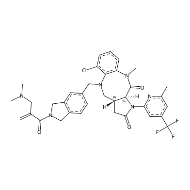 C=C(CN(C)C)C(=O)N1Cc2ccc(CN3C[C@H]4CC(=O)N(c5cc(C(F)(F)F)cc(C)n5)[C@@H]4C(=O)N(C)c4cccc(Cl)c43)cc2C1